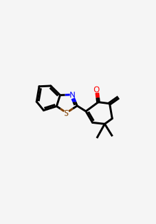 C=C1CC(C)(C)C=C(c2nc3ccccc3s2)C1=O